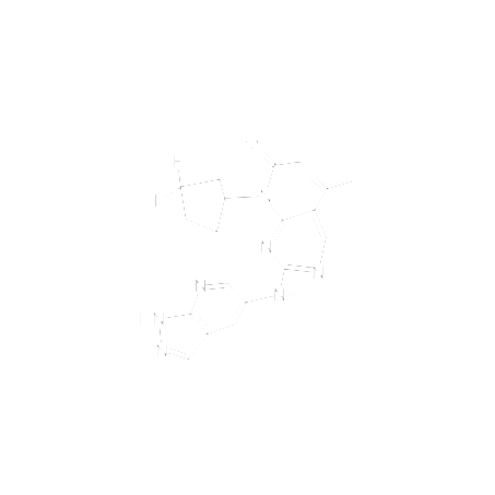 Cc1cc(=O)n(C2CCC(F)(F)C2)c2nc(Nc3cnc4[nH]ncc4c3)ncc12